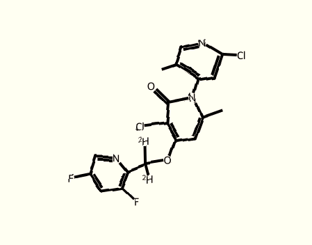 [2H]C([2H])(Oc1cc(C)n(-c2cc(Cl)ncc2C)c(=O)c1Cl)c1ncc(F)cc1F